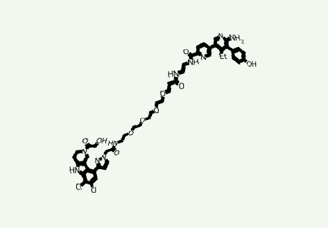 CCc1c(-c2ccc(C(=O)NCCNC(=O)CCOCCOCCOCCOCCNC(=O)Cn3ccc(-c4cc(Cl)c(Cl)c5[nH]c6c(c45)CN(C(=O)CO)CC6)n3)nc2)cnc(N)c1-c1ccc(O)cc1